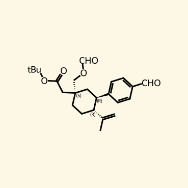 C=C(C)[C@@H]1CC[C@@](COC=O)(CC(=O)OC(C)(C)C)C[C@H]1c1ccc(C=O)cc1